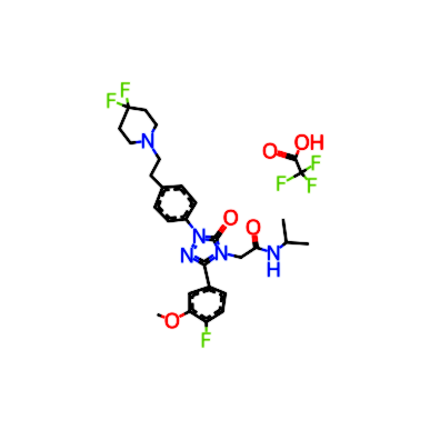 COc1cc(-c2nn(-c3ccc(CCN4CCC(F)(F)CC4)cc3)c(=O)n2CC(=O)NC(C)C)ccc1F.O=C(O)C(F)(F)F